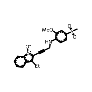 CCc1c(C#CCNc2ccc(S(C)(=O)=O)cc2OC)[s+]([O-])c2ccccc12